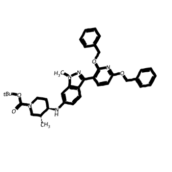 C[C@@H]1CN(C(=O)OC(C)(C)C)CC[C@H]1Nc1ccc2c(-c3ccc(OCc4ccccc4)nc3OCc3ccccc3)nn(C)c2c1